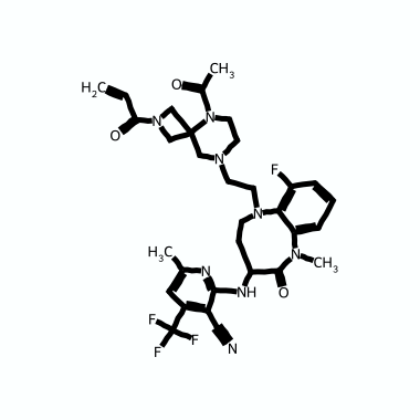 C=CC(=O)N1CC2(CN(CCN3CCC(Nc4nc(C)cc(C(F)(F)F)c4C#N)C(=O)N(C)c4cccc(F)c43)CCN2C(C)=O)C1